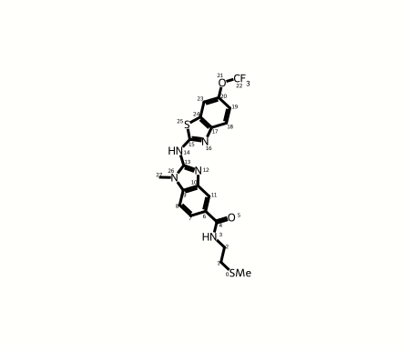 CSCCNC(=O)c1ccc2c(c1)nc(Nc1nc3ccc(OC(F)(F)F)cc3s1)n2C